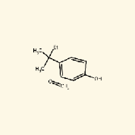 C=O.CCC(C)(C)c1ccc(O)cc1